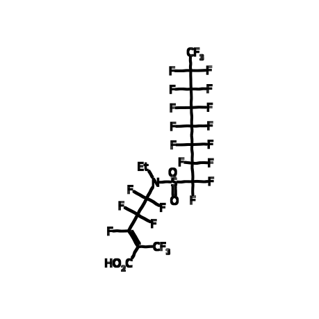 CCN(C(F)(F)C(F)(F)C(F)=C(C(=O)O)C(F)(F)F)S(=O)(=O)C(F)(F)C(F)(F)C(F)(F)C(F)(F)C(F)(F)C(F)(F)C(F)(F)C(F)(F)F